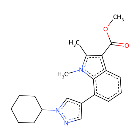 COC(=O)c1c(C)n(C)c2c(-c3cnn(C4CCCCC4)c3)cccc12